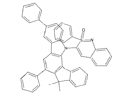 CC1(C)c2ccccc2-c2c1c(-c1ccccc1)cc1c3cc(-c4ccccc4)ccc3n(C3=Cc4ccccc4N=S3(=O)c3ccccc3)c21